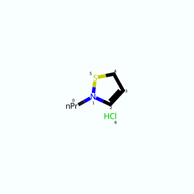 CCCN1C=CCS1.Cl